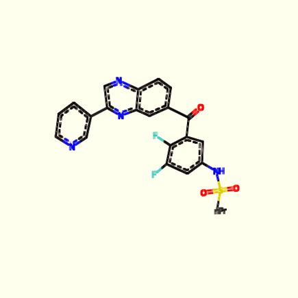 CCCS(=O)(=O)Nc1cc(F)c(F)c(C(=O)c2ccc3ncc(-c4cccnc4)nc3c2)c1